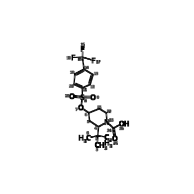 CC(C)(C)C1CC(OS(=O)(=O)c2ccc(C(F)(F)F)cc2)CCN1C(=O)O